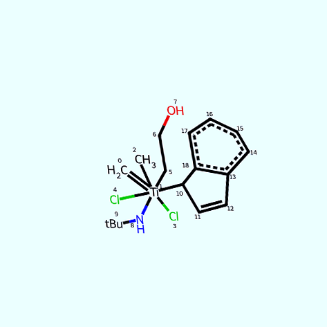 [CH2]=[Ti]([CH3])([Cl])([Cl])([CH2]CO)([NH]C(C)(C)C)[CH]1C=Cc2ccccc21